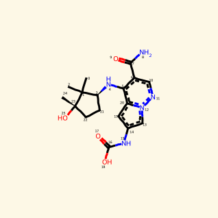 CC1(C)[C@@H](Nc2c(C(N)=O)cnn3cc(NC(=O)O)cc23)CC[C@]1(C)O